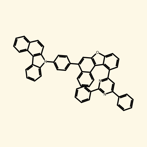 c1ccc(-c2cc(-c3cccc4oc5cc(-c6ccc(-n7c8ccccc8c8c9ccccc9ccc87)cc6)c6ccccc6c5c34)nc(-c3ccccc3)n2)cc1